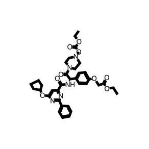 CCOC(=O)COc1ccc([C@H](NC(=O)c2cc(OC3CCCC3)nc(-c3ccccc3)n2)C(=O)N2CCN(OC(=O)OCC)CC2)cc1